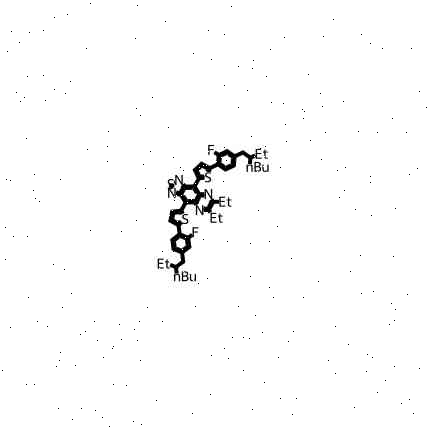 CCCCC(CC)Cc1ccc(-c2ccc(-c3c4nsnc4c(-c4ccc(-c5ccc(CC(CC)CCCC)cc5F)s4)c4nc(CC)c(CC)nc34)s2)c(F)c1